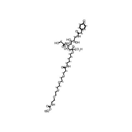 CC(C)(C)OC(=O)NCCOCCOCCOCCOCCC(=O)NCCCCCO[C@]1(C(=O)O)C[C@H](O)[C@@H](NC(=O)CO)[C@H]([C@H](O)[C@H](O)CNC(=O)Cc2ccc(Cl)cc2)O1